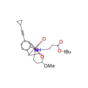 COC1CCC2(CC1)Cc1ccc(C#CC3CC3)cc1C21NC(=O)N(CCC(=O)OC(C)(C)C)C1=O